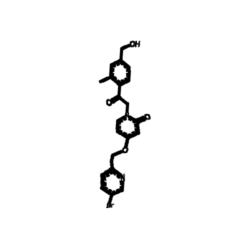 Cc1cc(CO)ccc1C(=O)Cn1ccc(OCc2ccc(Br)cn2)cc1=O